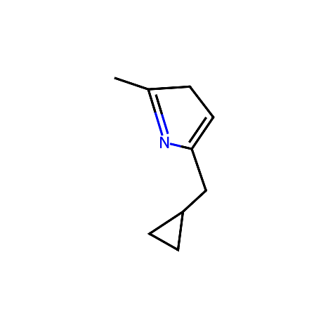 CC1=NC(CC2CC2)=CC1